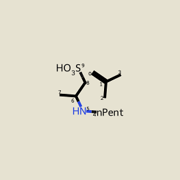 C=C(C)C.CCCCCNC(C)CS(=O)(=O)O